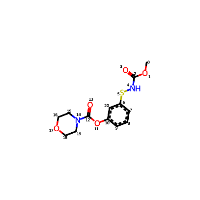 COC(=O)NSc1cccc(OC(=O)N2CCOCC2)c1